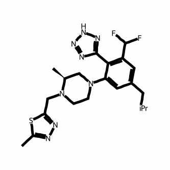 Cc1nnc(CN2CCN(c3cc(CC(C)C)cc(C(F)F)c3-c3nn[nH]n3)C[C@@H]2C)s1